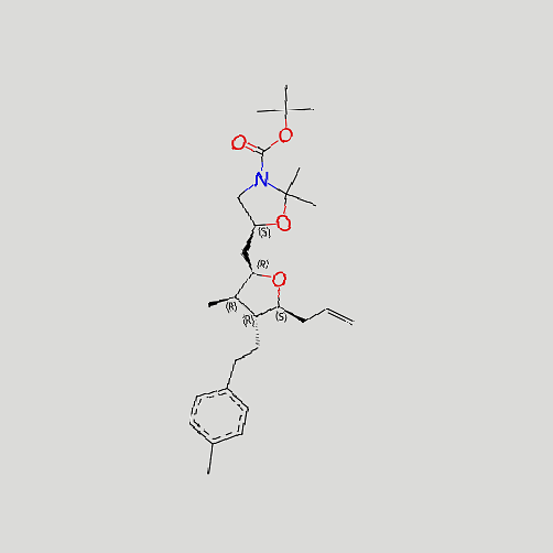 C=CC[C@@H]1O[C@H](C[C@H]2CN(C(=O)OC(C)(C)C)C(C)(C)O2)[C@H](C)[C@H]1CCc1ccc(C)cc1